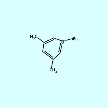 CCCC[n+]1cc(C)cc(C)c1